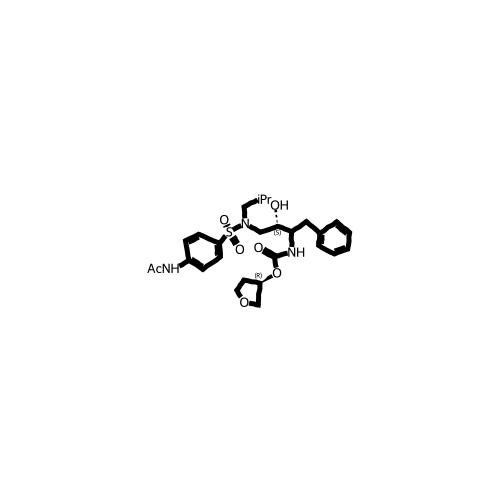 CC(=O)Nc1ccc(S(=O)(=O)N(CC(C)C)C[C@H](O)C(Cc2ccccc2)NC(=O)O[C@@H]2CCOC2)cc1